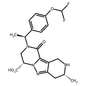 C[C@@H]1Cc2nn3c(c2CN1)C(=O)N([C@@H](C)c1ccc(OC(F)F)cc1)C[C@H]3C(=O)O